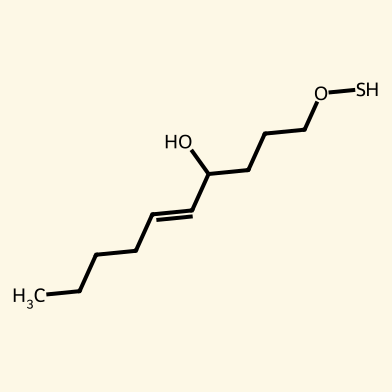 CCCC/C=C/C(O)CCCOS